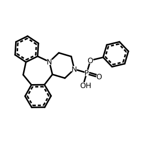 O=P(O)(Oc1ccccc1)N1CCN2c3ccccc3Cc3ccccc3C2C1